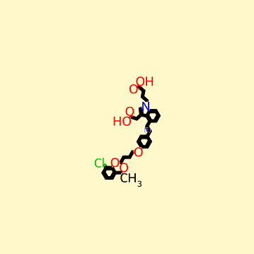 CC(=O)c1cccc(Cl)c1OCCCCOc1ccc(/C=C/c2cccc3c2c(CC(=O)O)cn3CCCC(=O)O)cc1